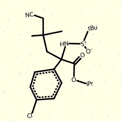 CC(C)OC(=O)C(CC(C)(C)CC#N)(N[S+]([O-])C(C)(C)C)c1ccc(Cl)cc1